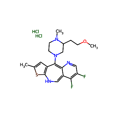 COCCC1CN(C2=c3ncc(F)c(F)c3=CNc3sc(C)cc32)CCN1C.Cl.Cl